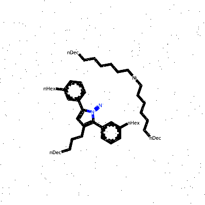 CCCCCCCCCCCCCC1=C(c2cccc(CCCCCC)c2)[N+](=[N-])C(c2cccc(CCCCCC)c2)=C1.CCCCCCCCCCCCCCC[CH2][Ni][CH2]CCCCCCCCCCCCCCC